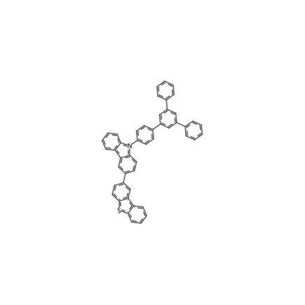 c1ccc(-c2cc(-c3ccccc3)cc(-c3ccc(-n4c5ccccc5c5cc(-c6ccc7sc8ccccc8c7c6)ccc54)cc3)c2)cc1